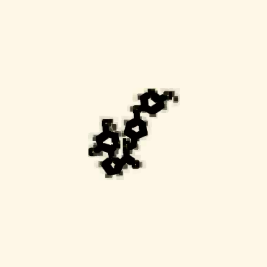 O=C(NCc1ccc(Oc2ccc(C(F)(F)F)nc2)cc1)c1cccn1-c1ncc(C(F)(F)F)cc1Cl